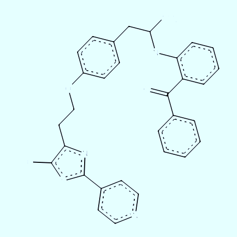 Cc1sc(-c2ccncc2)nc1CCOc1ccc(CC(Nc2ccccc2C(=O)c2ccccc2)C(=O)O)cc1